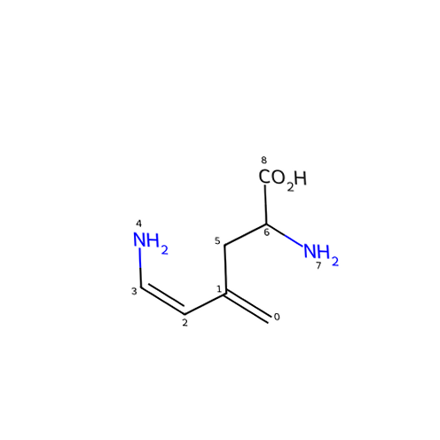 C=C(/C=C\N)CC(N)C(=O)O